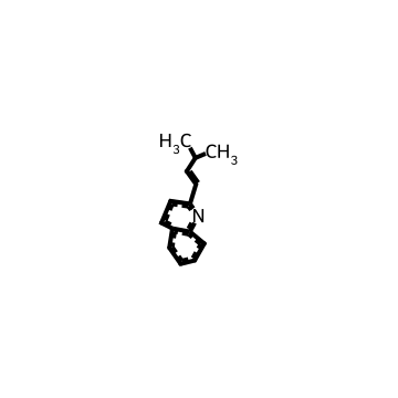 CC(C)/C=C/c1ccc2ccccc2n1